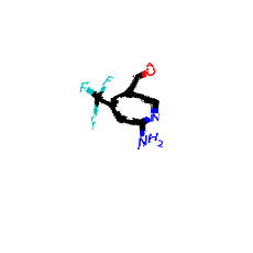 Nc1cc(C(F)(F)F)c([C]=O)cn1